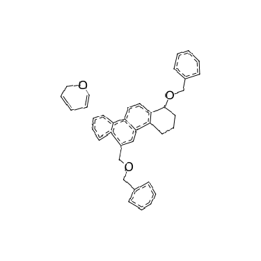 C1=CCOC=C1.c1ccc(COCc2cc3c4c(ccc3c3ccccc23)C(OCc2ccccc2)CCC4)cc1